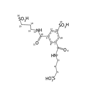 O=C(NCCCS(=O)(=O)O)c1cc(C(=O)NCCCS(=O)(=O)O)cc(S(=O)(=O)O)c1